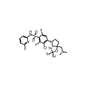 [2H]C([2H])([2H])OC1(CN(C)C)CCN(c2cc(F)c(S(=O)(=O)Nc3cccc(F)n3)c(F)c2Cl)C1